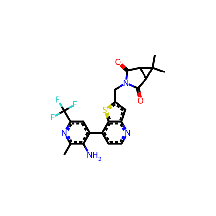 Cc1nc(C(F)(F)F)cc(-c2ccnc3cc(CN4C(=O)C5C(C4=O)C5(C)C)sc23)c1N